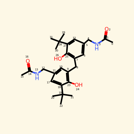 CC(=O)NCc1cc(Cc2cc(CNC(C)=O)cc(C(C)(C)C)c2O)c(O)c(C(C)(C)C)c1